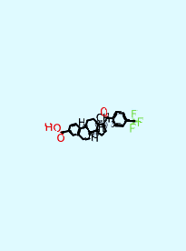 C[C@]12CC[C@@H]3c4ccc(C(=O)O)cc4CC[C@H]3[C@@H]1CC[C@@H]2C(=O)c1ccc(C(F)(F)F)cc1